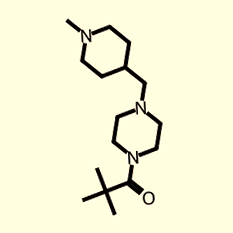 CN1CCC(CN2CCN(C(=O)C(C)(C)C)CC2)CC1